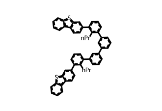 CCCc1c(-c2cccc(-c3cccc(-c4cccc(-c5ccc6c(c5)sc5ccccc56)c4CCC)c3)c2)cccc1-c1ccc2c(c1)sc1ccccc12